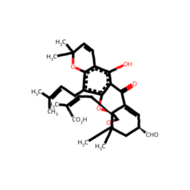 CC(C)=CCc1c2c(c(O)c3c1O[C@]14C(=C[C@@H](C=O)CC1C(C)(C)O[C@@H]4C/C=C(/C)C(=O)O)C3=O)C=CC(C)(C)O2